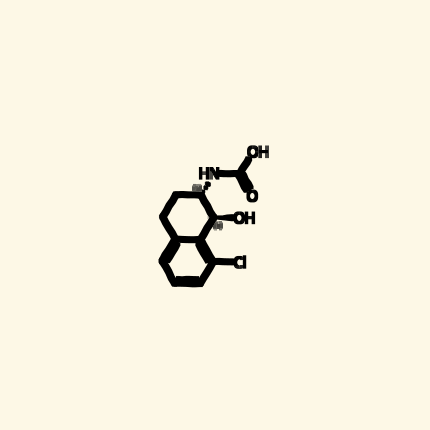 O=C(O)N[C@H]1CCc2cccc(Cl)c2[C@@H]1O